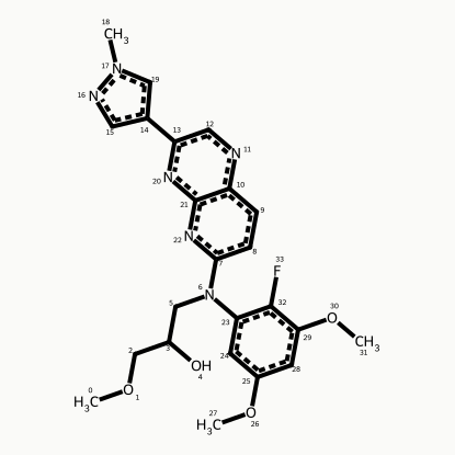 COCC(O)CN(c1ccc2ncc(-c3cnn(C)c3)nc2n1)c1cc(OC)cc(OC)c1F